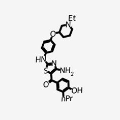 CCCc1cc(C(=O)c2sc(Nc3ccc(OC4CCCN(CC)C4)cc3)nc2N)ccc1O